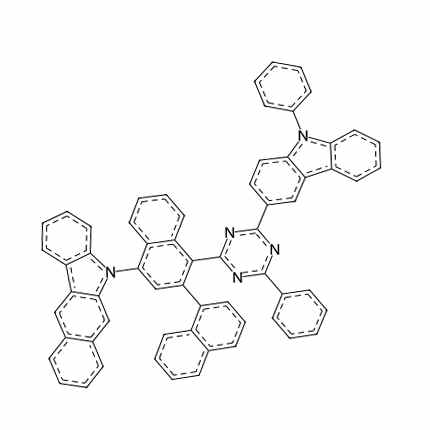 c1ccc(-c2nc(-c3ccc4c(c3)c3ccccc3n4-c3ccccc3)nc(-c3c(-c4cccc5ccccc45)cc(-n4c5ccccc5c5cc6ccccc6cc54)c4ccccc34)n2)cc1